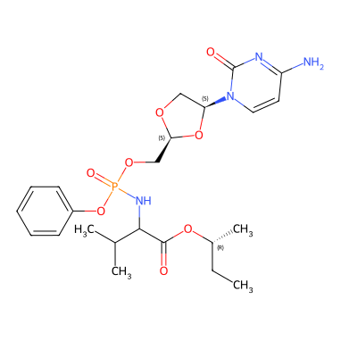 CC[C@@H](C)OC(=O)C(NP(=O)(OC[C@H]1OC[C@@H](n2ccc(N)nc2=O)O1)Oc1ccccc1)C(C)C